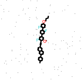 CCCCOc1ccc(-c2ccc(-c3cc(F)c(C#Cc4ccc5cc(-c6ccc(C)cc6)ccc5c4)c(OC)c3)cc2F)c(F)c1